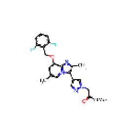 COC(=O)Cn1cc(-c2c(C)nc3c(OCc4c(F)cccc4F)cc(C)cn23)cn1